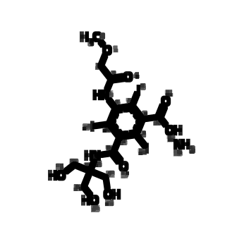 COCC(=O)Nc1c(I)c(C(=O)O)c(I)c(C(=O)NC(CO)(CO)CO)c1I.N